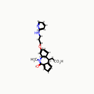 CN1C(=O)c2ccccc2C(CC(=O)O)c2ccc(OCCCNc3ccccn3)cc21